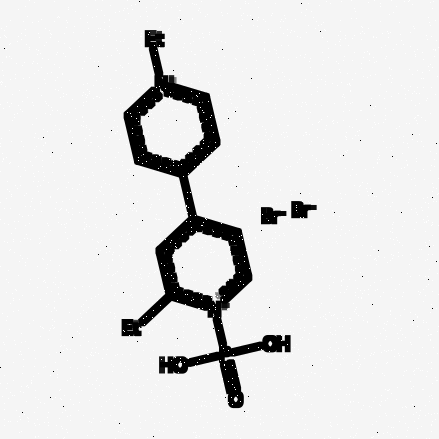 CCc1cc(-c2cc[n+](CC)cc2)cc[n+]1P(=O)(O)O.[Br-].[Br-]